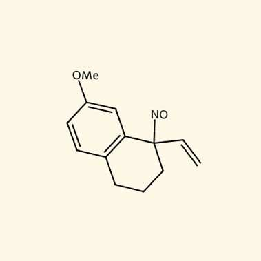 C=CC1(N=O)CCCc2ccc(OC)cc21